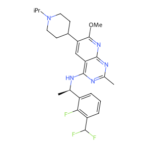 COc1nc2nc(C)nc(N[C@H](C)c3cccc(C(F)F)c3F)c2cc1C1CCN(C(C)C)CC1